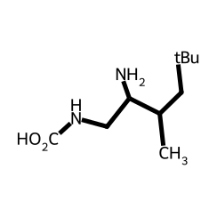 CC(CC(C)(C)C)C(N)CNC(=O)O